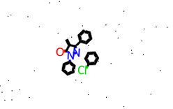 C=C1C(=O)N(c2ccccc2)N=C1c1ccccc1.Clc1ccccc1